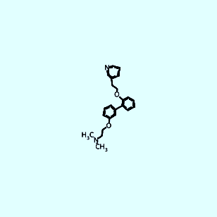 CN(C)CCOc1cccc(-c2ccccc2OCCc2cccnc2)c1